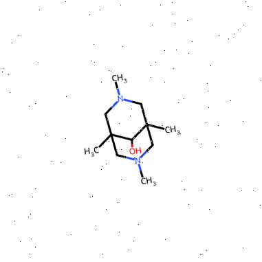 CN1CC2(C)CN(C)CC(C)(C1)C2O